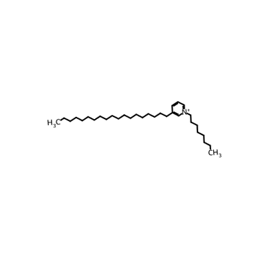 CCCCCCCCCCCCCCCCCCCc1ccc[n+](CCCCCCCC)c1